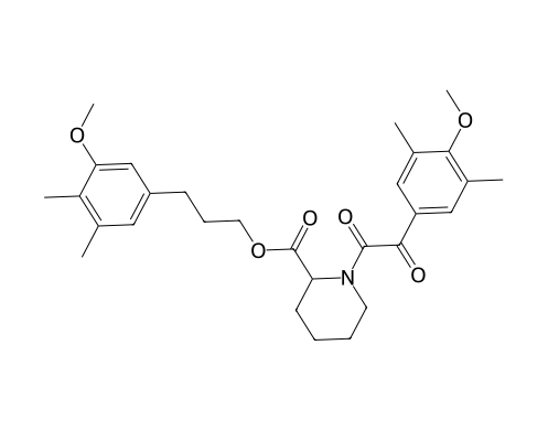 COc1cc(CCCOC(=O)C2CCCCN2C(=O)C(=O)c2cc(C)c(OC)c(C)c2)cc(C)c1C